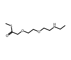 CCNCCOCCOCC(=O)SC